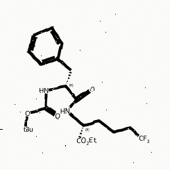 CCOC(=O)[C@@H](CCCC(F)(F)F)NC(=O)[C@@H](Cc1ccccc1)NC(=O)OC(C)(C)C